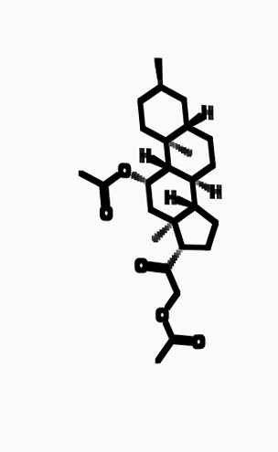 CC(=O)OCC(=O)[C@H]1CC[C@H]2[C@@H]3CC[C@H]4C[C@H](C)CC[C@]4(C)[C@H]3[C@@H](OC(C)=O)C[C@]12C